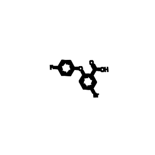 O=C(O)c1cc(Br)ccc1Oc1ccc(F)cc1